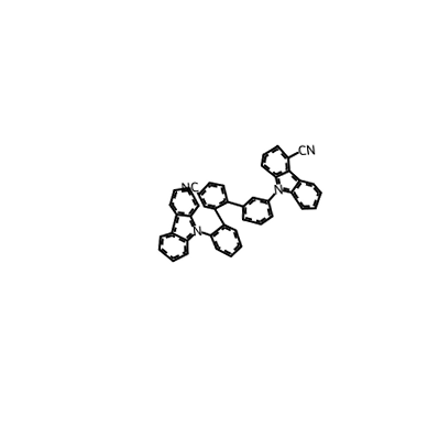 N#Cc1ccc(-c2cccc(-n3c4ccccc4c4c(C#N)cccc43)c2)c(-c2ccccc2-n2c3ccccc3c3ccccc32)c1